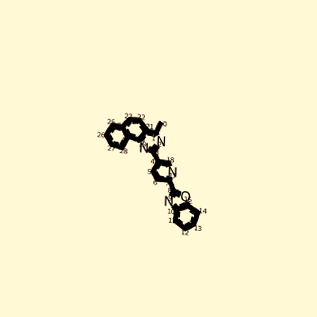 Cc1nc(-c2ccc(-c3nc4ccccc4o3)nc2)nc2c1ccc1ccccc12